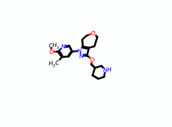 COc1ncc(-n2nc(OCC3CCCNC3)c3c2CCOCC3)cc1C